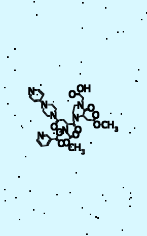 COC(=O)CC1C(=O)N(CC(=O)O)CCN1C(=O)C(CC(=O)N1CCN(c2ccncc2)CC1)N(OC(=O)c1cccnc1)C(=O)OC